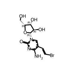 Nc1nc(=O)n([C@@H]2O[C@H](CO)[C@H](O)[C@H]2O)cc1C=CBr